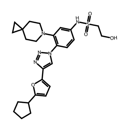 O=S(=O)(CCO)Nc1ccc(-n2cc(-c3ccc(C4CCCC4)o3)nn2)c(N2CCC3(CC2)CC3)c1